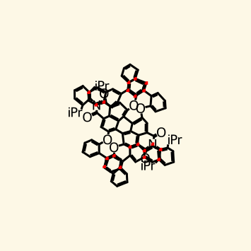 CC(C)c1cccc(C(C)C)c1N1C(=O)c2cc(Oc3ccccc3-c3ccc4ccccc4c3)c3c4c(Oc5ccccc5-c5ccc6ccccc6c5)cc5c6c(cc(Oc7ccccc7-c7ccc8ccccc8c7)c(c7c(Oc8ccccc8-c8ccc9ccccc9c8)cc(c2c37)C1=O)c64)C(=O)N(c1c(C(C)C)cccc1C(C)C)C5=O